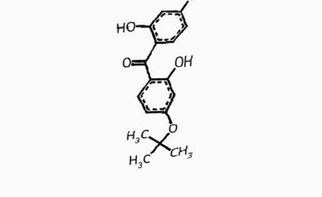 CC(C)(C)Oc1ccc(C(=O)c2ccc(O)cc2O)c(O)c1